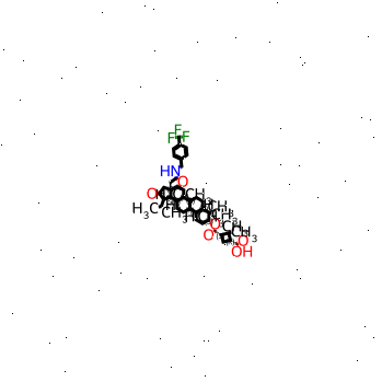 CC(C)C1=C2[C@H]3CC[C@@H]4[C@@]5(C)CC[C@H](OC(=O)[C@H]6C[C@@H](C(=O)O)C6(C)C)C(C)(C)[C@@H]5CC[C@@]4(C)[C@]3(C)CC[C@@]2(CC(=O)NCc2ccc(C(F)(F)F)cc2)CC1=O